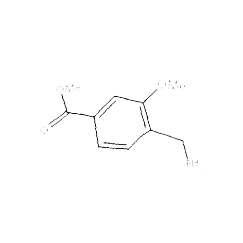 BCc1ccc(C(=O)OC)cc1OC